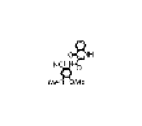 COc1cc(C#N)c(NC(=O)c2c[nH]c3ccccc3c2=O)cc1OC